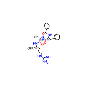 CC(C)[C@H](NC(=O)[C@H](Cc1ccccc1)NC(=O)c1ccccc1)C(=O)N[C@H]([C]=O)CCCNC(=N)N